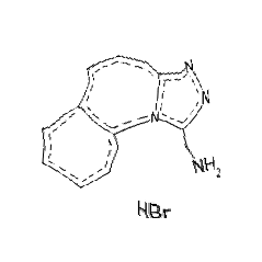 Br.Nc1nnc2ccc3ccccc3n12